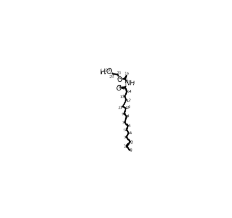 CCCCCCCCCCCCCCCC(=O)NC(C)OCCO